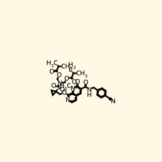 CC(C)C(=O)OCN(COC(=O)C(C)C)S(=O)(=O)C1(COc2nccc3cc(C(=O)NCc4ccc(C#N)cc4)c(=O)n(C)c23)CC1